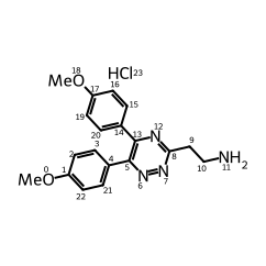 COc1ccc(-c2nnc(CCN)nc2-c2ccc(OC)cc2)cc1.Cl